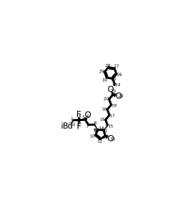 CC[C@H](C)CC(F)(F)C(=O)CC[C@@H]1C=CC(=O)[C@@H]1CCCCCCC(=O)OCc1ccccc1